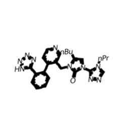 CCCCc1cn(-c2nncn2CCC)c(=O)n1Cc1cnccc1-c1ccccc1-c1nnn[nH]1